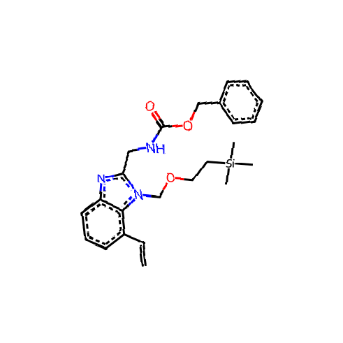 C=Cc1cccc2nc(CNC(=O)OCc3ccccc3)n(COCC[Si](C)(C)C)c12